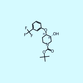 CC(C)(C)OC(=O)N1CC[C@@H](Oc2cccc(C(F)(F)F)c2)[C@H](O)C1